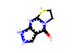 O=c1c2cn[nH]c2nc2n1CCS2